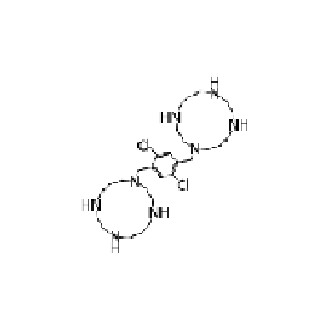 Clc1cc(CN2CCCNCCNCCCNCC2)c(Cl)cc1CN1CCCNCCNCCCNCC1